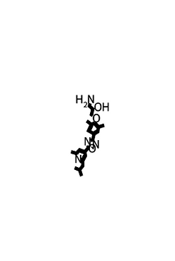 Cc1cc(-c2nc(-c3cc(C)c(OC[C@@H](O)CN)c(C)c3)no2)cc(CC(C)C)n1